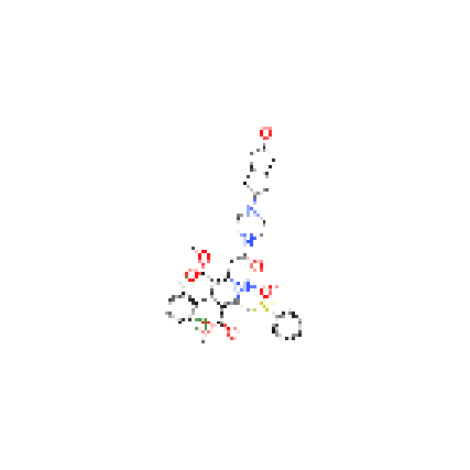 COC(=O)C1=C(CC(=O)N2CCN(C3CC4CC(=O)CC4C3)CC2)NC(C[S+]([O-])c2ccccc2)=C(C(=O)OC)C1c1c(Cl)cccc1Cl